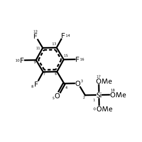 CO[Si](COC(=O)c1c(F)c(F)c(F)c(F)c1F)(OC)OC